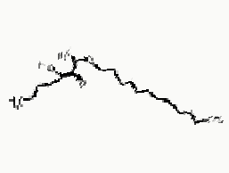 CCCCCCCCCCCCOC(C)C(=O)C(O)CCCC